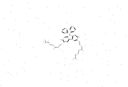 CC(C)CCCC(C)CCCc1cc2c(cc1Cl)[Si](c1ccccc1)(c1ccccc1)c1cc(Cl)c(OCCC(C)CCCC(C)C)cc1-2